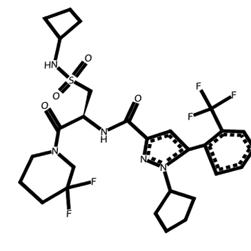 O=C(N[C@H](CS(=O)(=O)NC1CCC1)C(=O)N1CCCC(F)(F)C1)c1cc(-c2ccccc2C(F)(F)F)n(C2CCCC2)n1